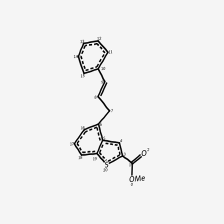 COC(=O)c1cc2c(C/C=C/c3ccccc3)cccc2s1